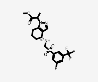 COC(=O)C(C)n1ncc2c1CCC[C@H]2NCS(=O)(=O)c1cc(F)cc(C(F)(F)F)c1